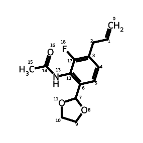 C=CCc1ccc(C2OCCO2)c(NC(C)=O)c1F